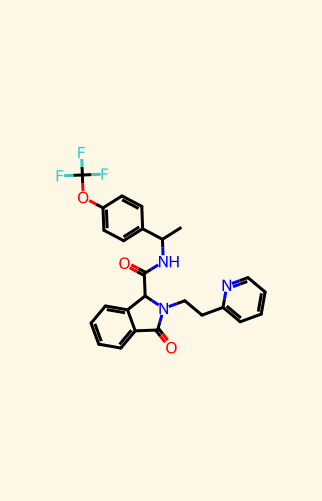 CC(NC(=O)C1c2ccccc2C(=O)N1CCc1ccccn1)c1ccc(OC(F)(F)F)cc1